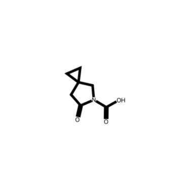 O=C(O)N1CC2(CC2)CC1=O